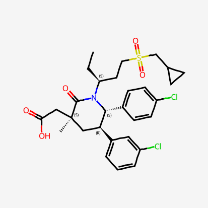 CC[C@@H](CCS(=O)(=O)CC1CC1)N1C(=O)[C@](C)(CC(=O)O)C[C@H](c2cccc(Cl)c2)[C@H]1c1ccc(Cl)cc1